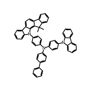 CC1(C)c2ccccc2-c2ccc3c4ccccc4n(-c4ccc(N(c5ccc(-c6ccccc6)cc5)c5ccc(-n6c7ccccc7c7ccccc76)cc5)cc4)c3c21